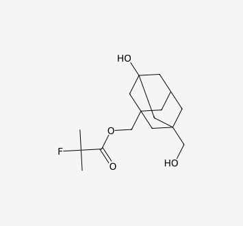 CC(C)(F)C(=O)OCC12CC3CC(O)(CC(CO)(C3)C1)C2